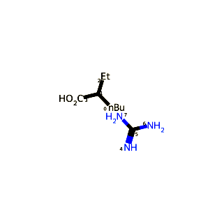 CCCCC(CC)C(=O)O.N=C(N)N